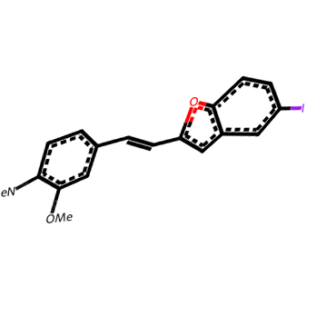 CNc1ccc(/C=C/c2cc3cc(I)ccc3o2)cc1OC